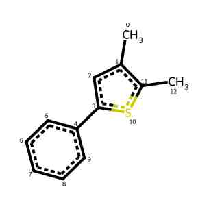 Cc1cc(-c2ccccc2)sc1C